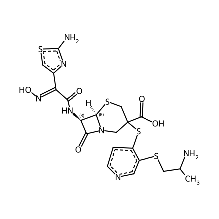 CC(N)CSc1cnccc1SC1(C(=O)O)CS[C@@H]2[C@H](NC(=O)C(=NO)c3csc(N)n3)C(=O)N2C1